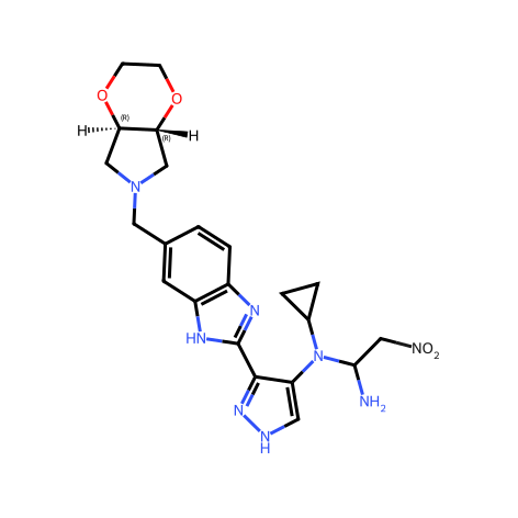 NC(C[N+](=O)[O-])N(c1c[nH]nc1-c1nc2ccc(CN3C[C@H]4OCCO[C@@H]4C3)cc2[nH]1)C1CC1